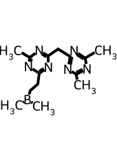 CB(C)CCc1nc(C)nc(Cc2nc(C)nc(C)n2)n1